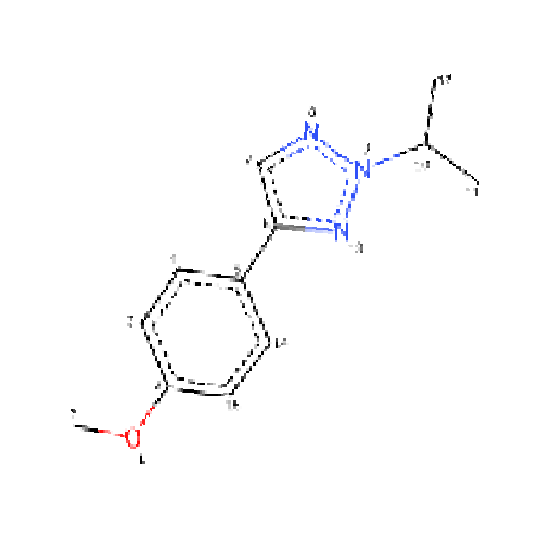 COc1ccc(-c2cnn(C(C)C)n2)cc1